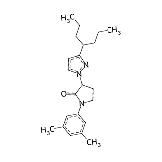 CCCC(CCC)c1ccn(C2CCN(c3cc(C)cc(C)c3)C2=O)n1